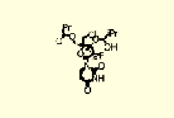 CC(C)C(=O)OC[C@@]1(CCl)O[C@@H](n2ccc(=O)[nH]c2=O)[C@H](F)[C@@H]1OC(O)C(C)C